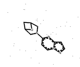 c1cc2nc(N3CC4CC(C3)O4)ccn2n1